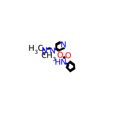 CN(C)/C=N/c1ccncc1OC(=O)Nc1ccccc1